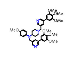 COc1ccc(N(Cc2cncc(-c3cc(OC)c(OC)c(OC)c3)c2)C2CCN(Cc3cncc(-c4cc(OC)c(OC)c(OC)c4)c3)CC2)cc1